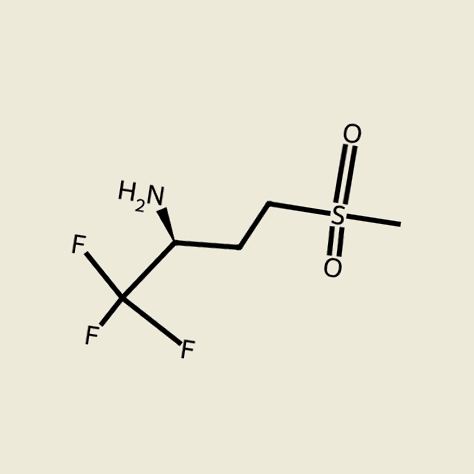 CS(=O)(=O)CC[C@H](N)C(F)(F)F